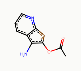 CC(=O)Oc1sc2ncccc2c1N